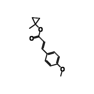 COc1ccc(/C=C/C(=O)OC2(C)CC2)cc1